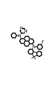 CC1(C)c2ccccc2-c2c(N(c3cccc(F)c3)c3ccc4ccc5c(N(c6ccccc6)c6cncnc6)ccc6ccc3c4c65)cccc21